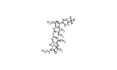 C=C(C)N(Cc1ccc(OC(C)(C)C(=O)OCC)c(C)c1)Cc1sc(-c2ccc(C(F)(F)F)cc2)nc1C